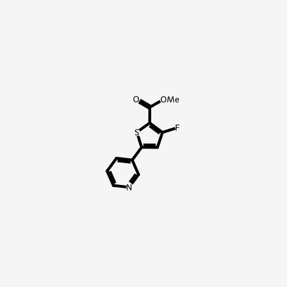 COC(=O)c1sc(-c2cccnc2)cc1F